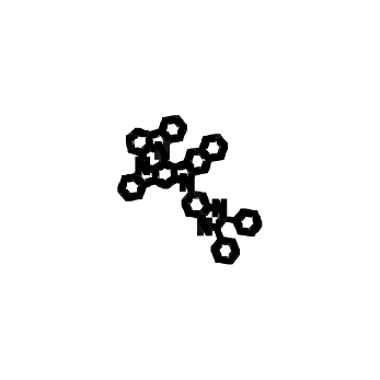 c1ccc(-c2nc3ccc(-n4c5cc6ccccc6cc5c5c4cc4c6ccccc6n6c7cccc8c9ccccc9n(c87)c5c46)cc3nc2-c2ccccc2)cc1